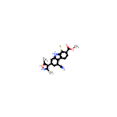 COC(=O)c1ccc2c([nH]c3cc(-c4c(C)noc4C)cc(C#N)c32)c1F